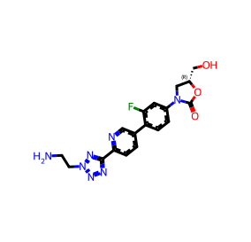 NCCn1nnc(-c2ccc(-c3ccc(N4C[C@H](CO)OC4=O)cc3F)cn2)n1